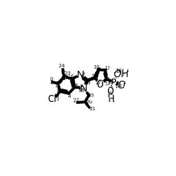 Cc1c(Cl)cc2c(nc(-c3ccc(P(=O)(O)O)o3)n2CC(C)C)c1C